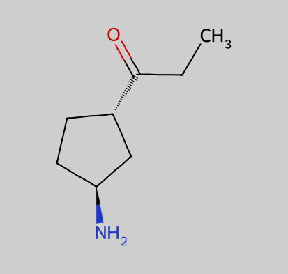 CCC(=O)[C@H]1CC[C@H](N)C1